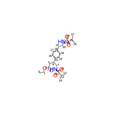 CCOC(=O)CC(CNS(=O)(=O)C(C)C)c1ccc(CCNS(=O)(=O)C(C)C)cc1